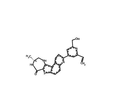 C=Cc1cc(-c2ccc3c(ccc4sc5c(c43)NC[C@@H](C)NC5=O)n2)cc(CO)n1